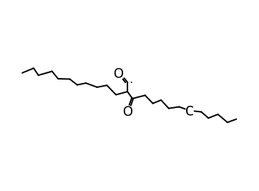 CCCCCCCCCCCC(=O)C([C]=O)CCCCCCCCCCC